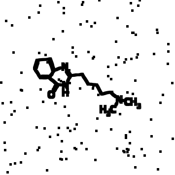 CN(C)CCCCCc1nc2ccccc2c(=O)[nH]1